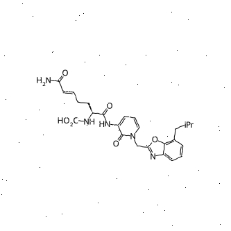 CC(C)Cc1cccc2nc(Cn3cccc(NC(=O)[C@H](CC/C=C/C(N)=O)NC(=O)O)c3=O)oc12